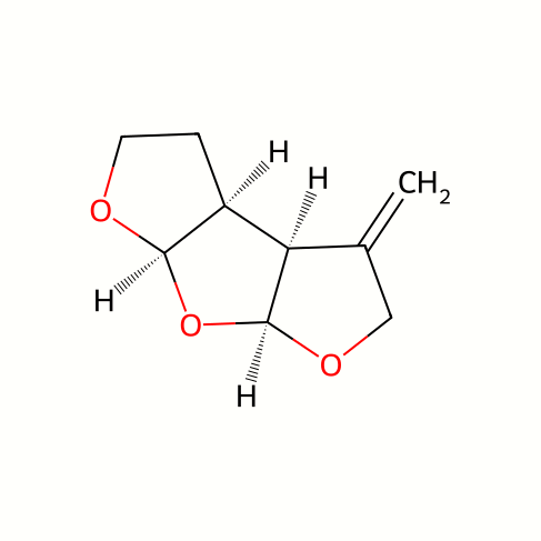 C=C1CO[C@H]2O[C@H]3OCC[C@H]3[C@@H]12